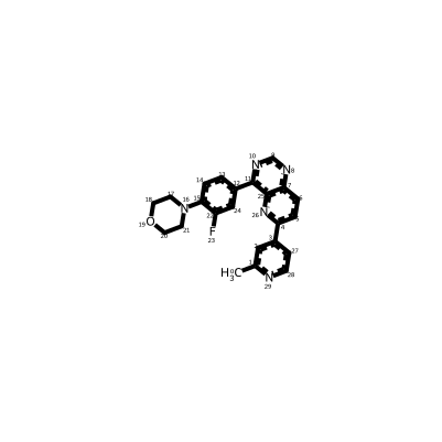 Cc1cc(-c2ccc3ncnc(-c4ccc(N5CCOCC5)c(F)c4)c3n2)ccn1